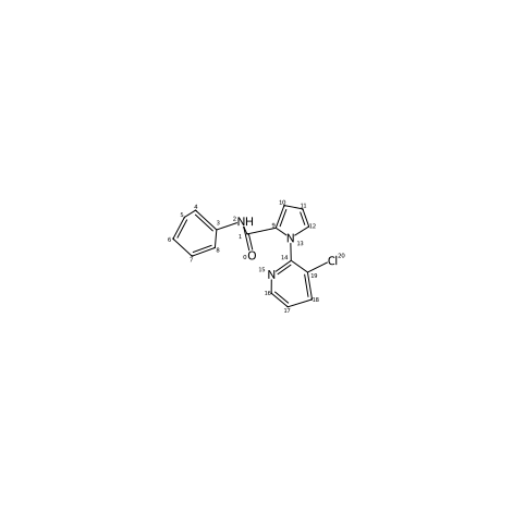 O=C(Nc1ccccc1)c1cccn1-c1ncccc1Cl